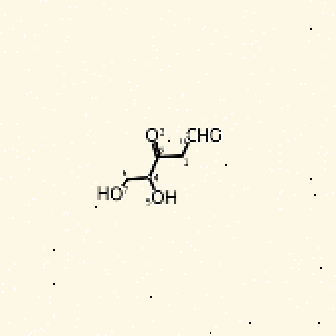 O=CCC(=O)C(O)CO